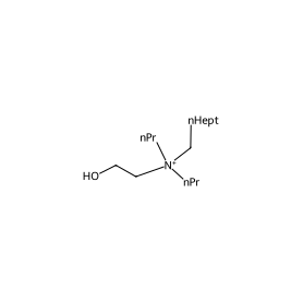 CCCCCCCC[N+](CCC)(CCC)CCO